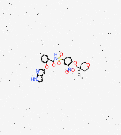 CC1(COc2ccc(S(=O)(=O)NC(=O)c3ccccc3Oc3cnc4[nH]ccc4c3)cc2[N+](=O)[O-])CCOCC1